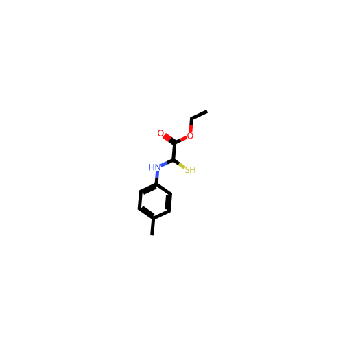 CCOC(=O)C(S)Nc1ccc(C)cc1